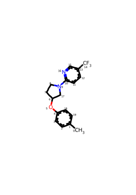 Cc1ccc(OC2CCN(c3ccc(C(F)(F)F)cn3)C2)cc1